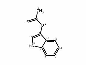 CC(=S)Oc1c[nH]c2ccccc12